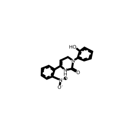 O=C1NC(c2ccccc2[N+](=O)[O-])=CCN1c1ccccc1O